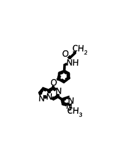 C=CC(=O)NCc1cccc(Oc2nc(-c3cnn(C)c3)cn3nccc23)c1